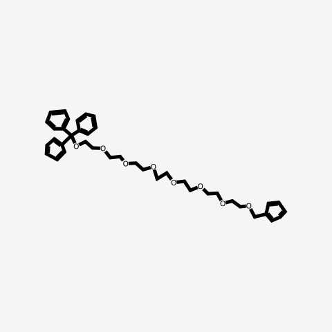 c1ccc(COCCOCCOCCOCCOCCOCCOCCOC(c2ccccc2)(c2ccccc2)c2ccccc2)cc1